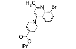 Cc1cc(N2CC=C(C(=O)OC(C)C)CC2)c2cccc(Br)c2n1